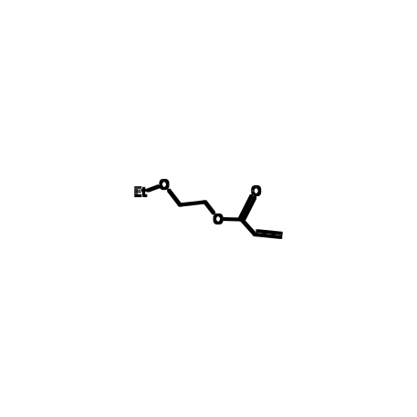 C=CC(=O)OCCOCC